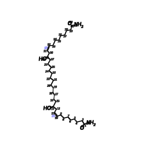 NC(=O)CCCCCCC/C=C\CC(O)CCCCCCCCCCCCCC(O)C/C=C\CCCCCCCC(N)=O